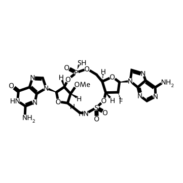 CO[C@H]1[C@H]2O[P@](=O)(S)OC[C@H]3O[C@@H](n4cnc5c(N)ncnc54)[C@H](F)[C@@H]3OS(=O)(=O)NC[C@H]1O[C@H]2n1cnc2c(=O)[nH]c(N)nc21